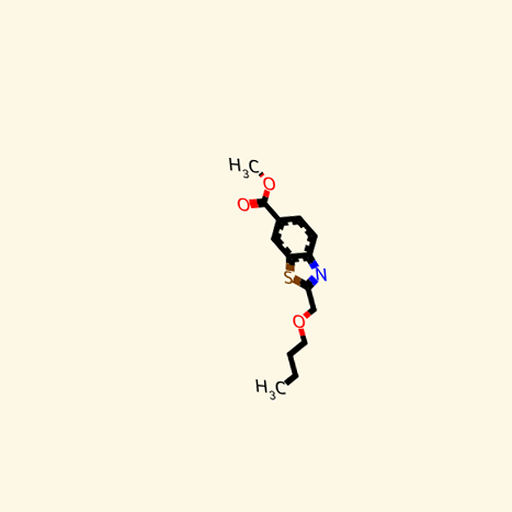 CCCCOCc1nc2ccc(C(=O)OC)cc2s1